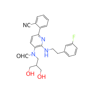 N#Cc1ccccc1-c1ccc(N(C=O)CC(CO)CO)c(NCCc2cccc(F)c2)n1